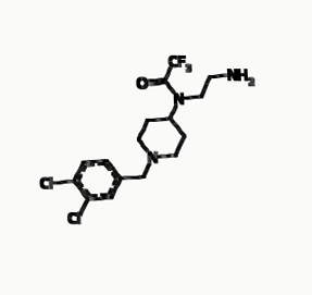 NCCN(C(=O)C(F)(F)F)C1CCN(Cc2ccc(Cl)c(Cl)c2)CC1